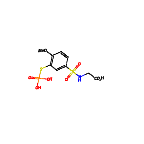 COc1ccc(S(=O)(=O)NCC(=O)O)cc1SP(=O)(O)O